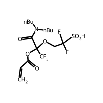 C=CC(=O)OC(OCC(F)(F)S(=O)(=O)O)(C(=O)N(CCCC)CCCC)C(F)(F)F